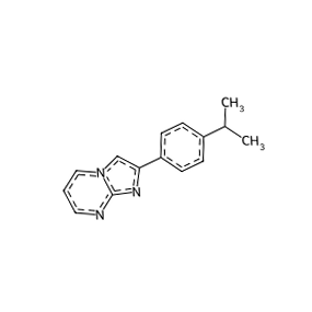 CC(C)c1ccc(-c2cn3cccnc3n2)cc1